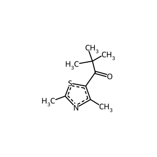 Cc1nc(C)c(C(=O)C(C)(C)C)s1